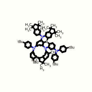 Cc1cc2c3cc1N1c4cc(N(c5ccc(C(C)(C)C)cc5)c5ccc(C(C)(C)C)cc5)ccc4B4c5cc6c(cc5N(c5ccc7c(c5)C(C)(C)CC7(C)C)c5cc(cc1c54)N(c1ccc(C(C)(C)C)cc1)c1ccc(C(C)(C)C)c(c1)C3(C)CC2(C)C)C(C)(C)CC6(C)C